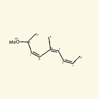 C\C=C/C=C(C)\C=C/C(C)OC